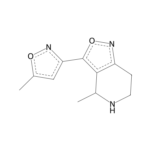 Cc1cc(-c2onc3c2C(C)NCC3)no1